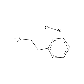 NCCc1ccccc1.[Cl][Pd]